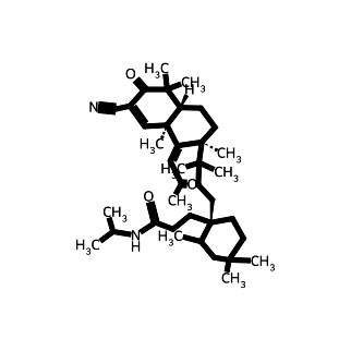 CC(=O)/C=C1/[C@@]2(C)C=C(C#N)C(=O)C(C)(C)[C@@H]2CC[C@@]1(C)C(C)(C)CC[C@@]1(CCC(=O)NC(C)C)CCC(C)(C)CC1C